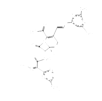 Nc1cc(S/C=C/C2=C(C(=O)O)N3C(=O)[C@@H](NC(=O)/C(=N\O)c4nsc(N)n4)[C@H]3SC2)nc(N)n1